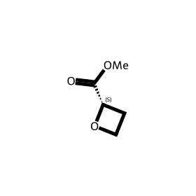 COC(=O)[C@@H]1CCO1